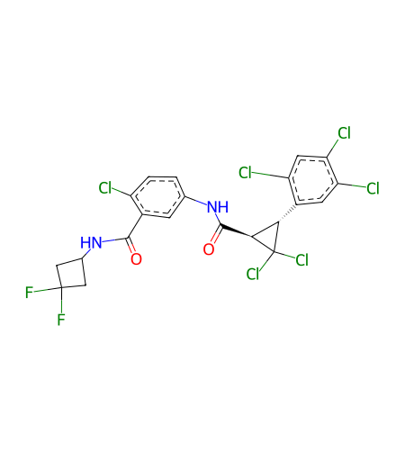 O=C(NC1CC(F)(F)C1)c1cc(NC(=O)[C@H]2[C@H](c3cc(Cl)c(Cl)cc3Cl)C2(Cl)Cl)ccc1Cl